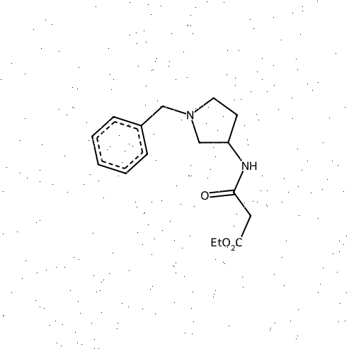 CCOC(=O)CC(=O)NC1CCN(Cc2ccccc2)C1